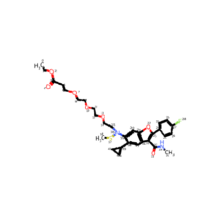 CCOC(=O)CCOCCOCCOCCN(SC)c1cc2oc(-c3ccc(F)cc3)c(C(=O)NC)c2cc1C1CC1